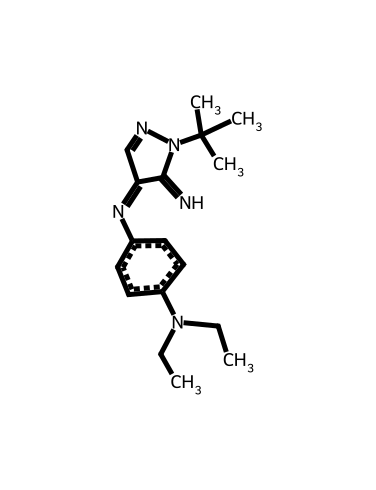 CCN(CC)c1ccc(N=C2C=NN(C(C)(C)C)C2=N)cc1